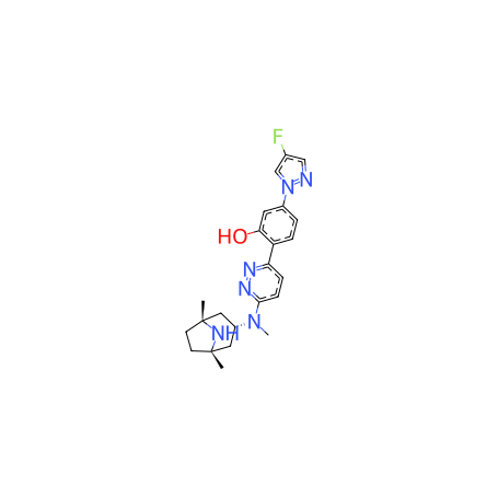 CN(c1ccc(-c2ccc(-n3cc(F)cn3)cc2O)nn1)[C@@H]1C[C@]2(C)CC[C@](C)(C1)N2